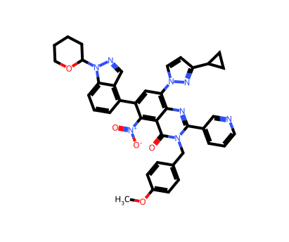 COc1ccc(Cn2c(-c3cccnc3)nc3c(-n4ccc(C5CC5)n4)cc(-c4cccc5c4cnn5C4CCCCO4)c([N+](=O)[O-])c3c2=O)cc1